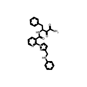 NC(=O)C(=O)C(Cc1ccccc1)NC(=O)c1cccnc1-n1ccc(CNc2ccccc2)n1